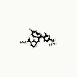 COC(=O)N1CCOC(Cc2c(-c3ccc(N[SH](=O)=O)nc3C)nc3cc(C)ccn23)C1